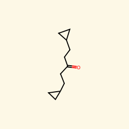 O=C(CCC1CC1)CCC1CC1